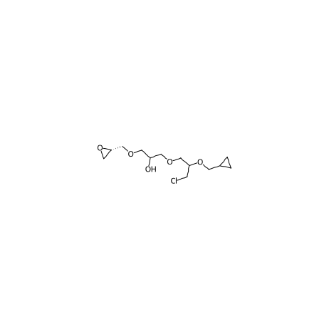 OC(COCC(CCl)OCC1CC1)COC[C@@H]1CO1